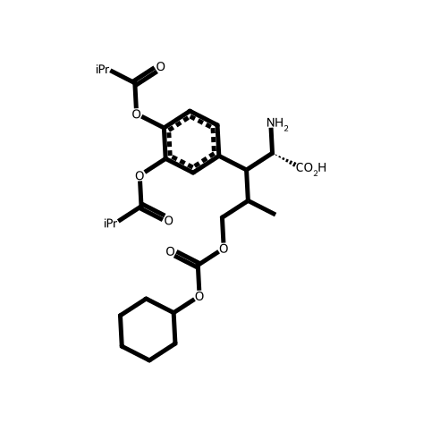 CC(C)C(=O)Oc1ccc(C(C(C)COC(=O)OC2CCCCC2)[C@H](N)C(=O)O)cc1OC(=O)C(C)C